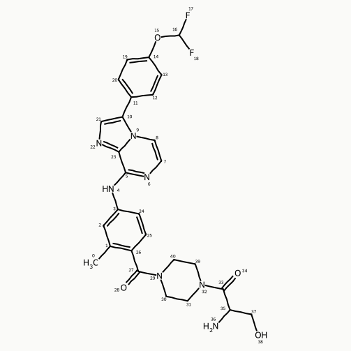 Cc1cc(Nc2nccn3c(-c4ccc(OC(F)F)cc4)cnc23)ccc1C(=O)N1CCN(C(=O)C(N)CO)CC1